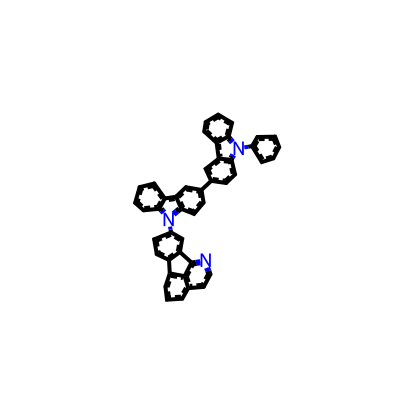 c1ccc(-n2c3ccccc3c3cc(-c4ccc5c(c4)c4ccccc4n5-c4ccc5c(c4)-c4nccc6cccc-5c46)ccc32)cc1